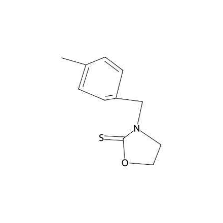 Cc1ccc(CN2CCOC2=S)cc1